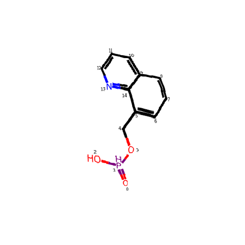 O=[PH](O)OCc1cccc2cccnc12